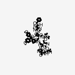 COc1ccc(C(OC[C@H]2O[C@@H](n3cnc4c(NC(=O)c5ccccc5)ncnc43)[C@H](OC)[C@@H]2CC(=O)NC[C@@H]2O[C@@H](n3cnc4c(=O)[nH]c(NC(=O)C(C)C)nc43)[C@H](OC)[C@@H]2C(C#N)COP(O)N(C(C)C)C(C)C)(c2ccccc2)c2ccc(OC)cc2)cc1